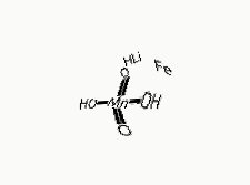 [Fe].[LiH].[O]=[Mn](=[O])([OH])[OH]